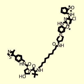 COc1cc(N2CCC(NC(=O)CCCCCCCCCCNC(C(=O)N3C[C@H](O)C[C@H]3C(=O)NCc3ccc(-c4scnc4C)cc3)C(C)(C)C)CC2)ccc1Nc1ncc(Cl)c(Nc2ccccc2P(C)(C)=O)n1